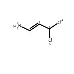 NC=CC(Cl)Cl